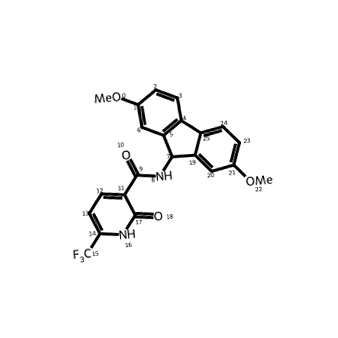 COc1ccc2c(c1)C(NC(=O)c1ccc(C(F)(F)F)[nH]c1=O)c1cc(OC)ccc1-2